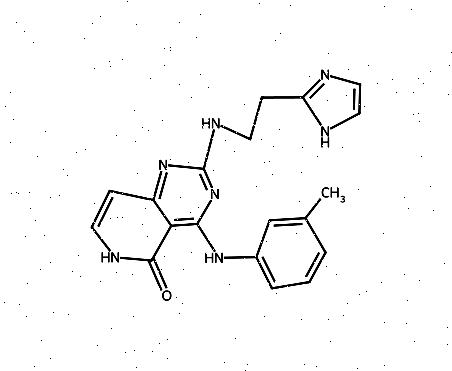 Cc1cccc(Nc2nc(NCCc3ncc[nH]3)nc3cc[nH]c(=O)c23)c1